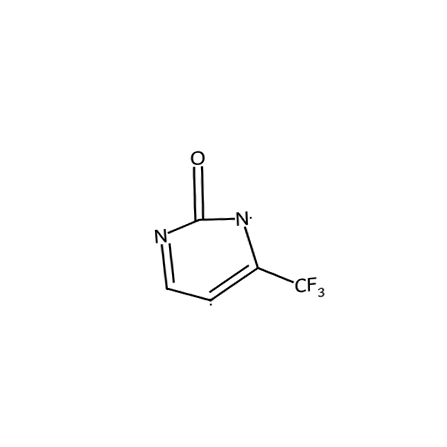 O=C1[N]C(C(F)(F)F)=[C]C=N1